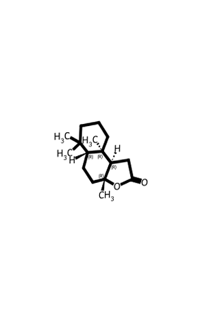 CC1(C)CCC[C@]2(C)[C@@H]1CC[C@@]1(C)OC(=O)C[C@H]21